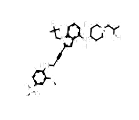 COc1cc(S(C)(=O)=O)ccc1NCC#Cc1cc2c(N[C@H]3CCN(CC(C)O)C[C@H]3F)cccc2n1CC(F)(F)F